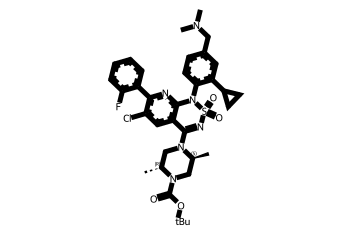 C[C@@H]1CN(C2=NS(=O)(=O)N(c3ccc(CN(C)C)cc3C3CC3)c3nc(-c4ccccc4F)c(Cl)cc32)[C@@H](C)CN1C(=O)OC(C)(C)C